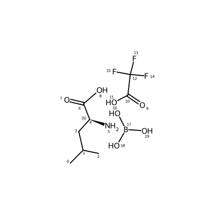 CC(C)C[C@H](N)C(=O)O.O=C(O)C(F)(F)F.OB(O)O